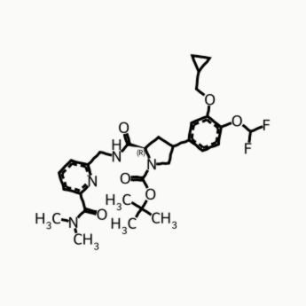 CN(C)C(=O)c1cccc(CNC(=O)[C@H]2CC(c3ccc(OC(F)F)c(OCC4CC4)c3)CN2C(=O)OC(C)(C)C)n1